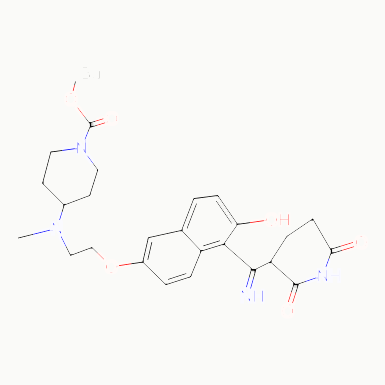 CN(CCOc1ccc2c(C(=N)C3CCC(=O)NC3=O)c(O)ccc2c1)C1CCN(C(=O)OC(C)(C)C)CC1